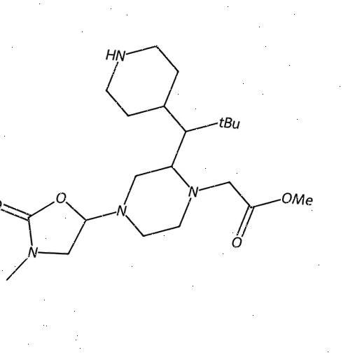 COC(=O)CN1CCN(C2CN(C)C(=O)O2)CC1C(C1CCNCC1)C(C)(C)C